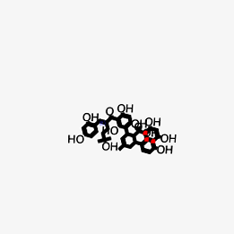 CC1=CC(c2c(O)cc(O)c(C(=O)/C(=C/c3ccc(O)cc3O)CCC(C)(C)O)c2O)C(C(=O)c2ccc(O)cc2O)C(c2ccc(O)cc2O)C1